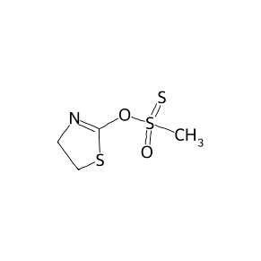 CS(=O)(=S)OC1=NCCS1